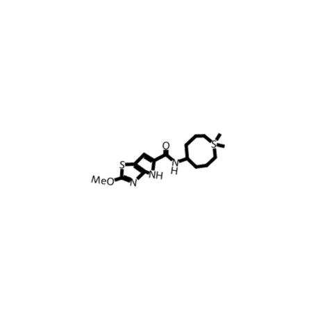 COc1nc2[nH]c(C(=O)NC3CCCS(C)(C)CCC3)cc2s1